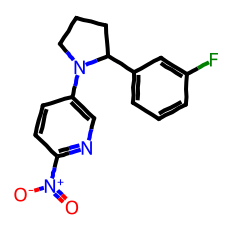 O=[N+]([O-])c1ccc(N2CCCC2c2cccc(F)c2)cn1